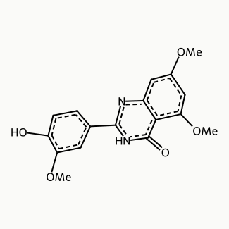 COc1cc(OC)c2c(=O)[nH]c(-c3ccc(O)c(OC)c3)nc2c1